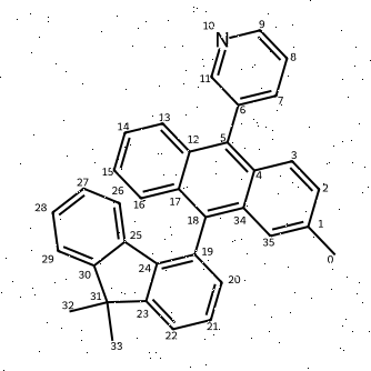 Cc1ccc2c(-c3cccnc3)c3ccccc3c(-c3cccc4c3-c3ccccc3C4(C)C)c2c1